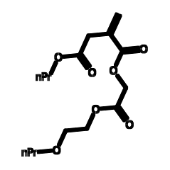 C=C(CC(=O)OCCC)C(=O)OCC(=O)OCCOCCC